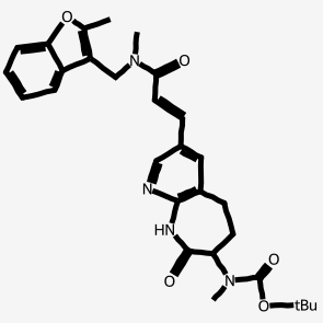 Cc1oc2ccccc2c1CN(C)C(=O)/C=C/c1cnc2c(c1)CCC(N(C)C(=O)OC(C)(C)C)C(=O)N2